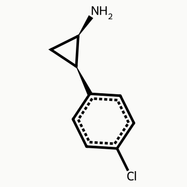 N[C@@H]1C[C@@H]1c1ccc(Cl)cc1